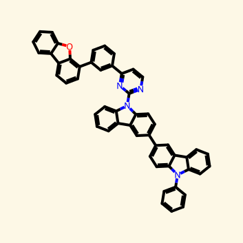 c1ccc(-n2c3ccccc3c3cc(-c4ccc5c(c4)c4ccccc4n5-c4nccc(-c5cccc(-c6cccc7c6oc6ccccc67)c5)n4)ccc32)cc1